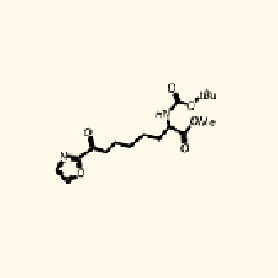 COC(=O)C(CCCCCC(=O)c1ncco1)NC(=O)OC(C)(C)C